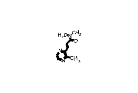 Cc1nccnc1C=CC(=O)N(C)C